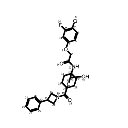 O=C(COc1ccc(Cl)c(F)c1)NC12CCC(C(=O)N3CC(c4ccccc4)C3)(CC1)CC2O